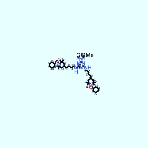 COCN(COC)c1nc(NCCCCC2CC(C)(C)N(OC3CCCCC3)C(C)(C)C2)nc(NCCCCC2CC(C)(C)N(OC3CCCCC3)C(C)(C)C2)n1